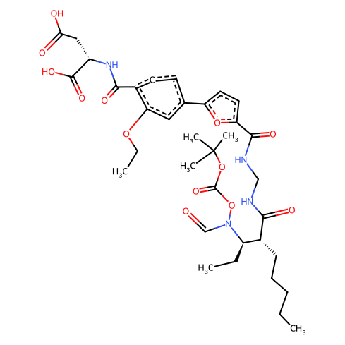 CCCCC[C@@H](C(=O)NCNC(=O)c1ccc(-c2ccc(C(=O)N[C@@H](CC(=O)O)C(=O)O)c(OCC)c2)o1)[C@@H](CC)N(C=O)OC(=O)OC(C)(C)C